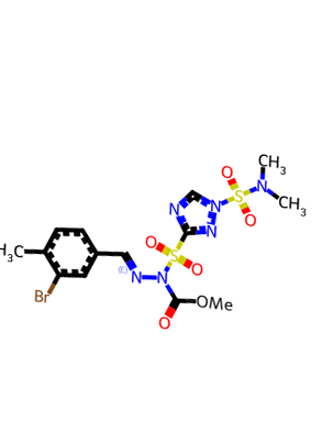 COC(=O)N(/N=C/c1ccc(C)c(Br)c1)S(=O)(=O)c1ncn(S(=O)(=O)N(C)C)n1